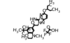 CCC(CC)Oc1ccc2nn(CC(=O)c3cc4c(c(C(C)(C)C)c3)OCCN4C)c(=N)n2n1.O=C(O)C(F)(F)F